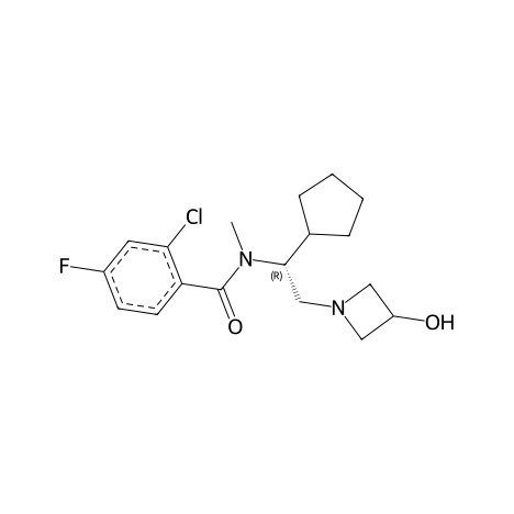 CN(C(=O)c1ccc(F)cc1Cl)[C@@H](CN1CC(O)C1)C1CCCC1